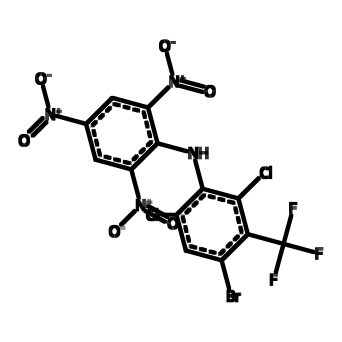 O=[N+]([O-])c1cc([N+](=O)[O-])c(Nc2c(Cl)cc(Br)c(C(F)(F)F)c2Cl)c([N+](=O)[O-])c1